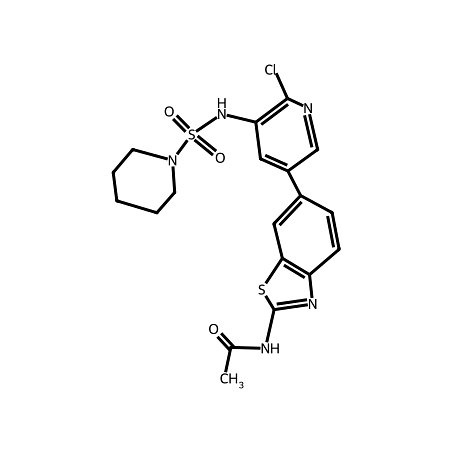 CC(=O)Nc1nc2ccc(-c3cnc(Cl)c(NS(=O)(=O)N4CCCCC4)c3)cc2s1